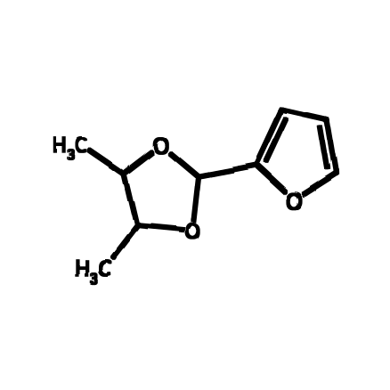 CC1OC(c2ccco2)OC1C